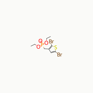 CCOP(=O)(Cc1cc(Br)sc1Br)OCC